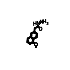 COc1cccc2cc(CC(=O)NN)ccc12